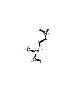 COP(O)OCCN(C)C